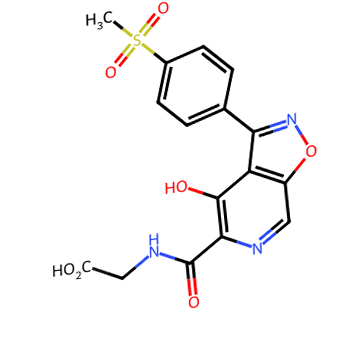 CS(=O)(=O)c1ccc(-c2noc3cnc(C(=O)NCC(=O)O)c(O)c23)cc1